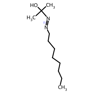 CCCCCCCC/N=N/C(C)(C)O